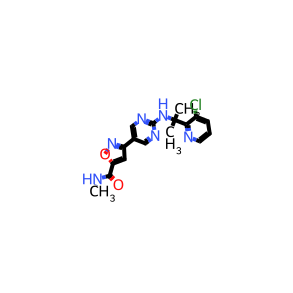 CNC(=O)c1cc(-c2cnc(NC(C)(C)c3ncccc3Cl)nc2)no1